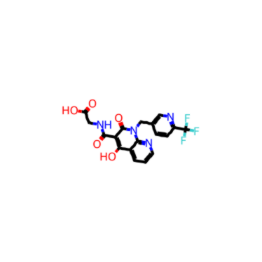 O=C(O)CNC(=O)c1c(O)c2cccnc2n(Cc2ccc(C(F)(F)F)nc2)c1=O